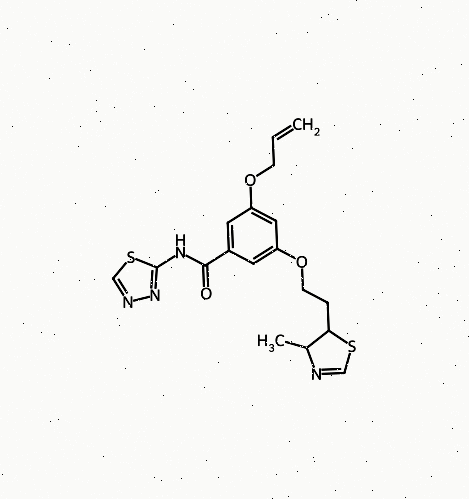 C=CCOc1cc(OCCC2SC=NC2C)cc(C(=O)Nc2nncs2)c1